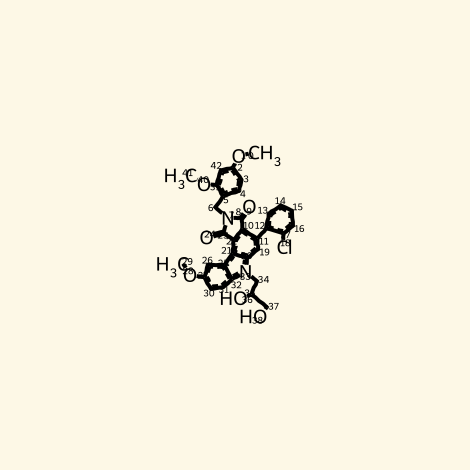 COc1ccc(CN2C(=O)c3c(-c4ccccc4Cl)cc4c(c3C2=O)c2cc(OC)ccc2n4CC(O)CO)c(OC)c1